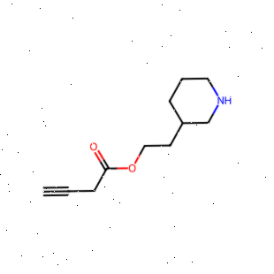 C#CCC(=O)OCCC1CCCNC1